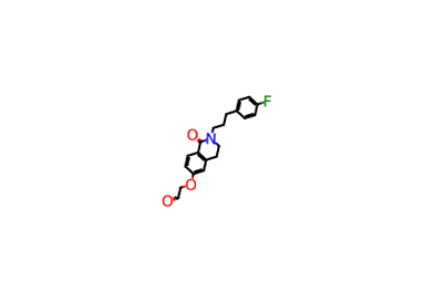 O=CCOc1ccc2c(c1)CCN(CCCc1ccc(F)cc1)C2=O